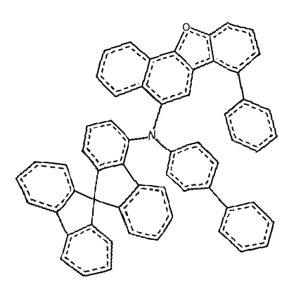 c1ccc(-c2ccc(N(c3cccc4c3-c3ccccc3C43c4ccccc4-c4ccccc43)c3cc4c(oc5cccc(-c6ccccc6)c54)c4ccccc34)cc2)cc1